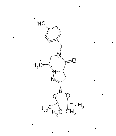 C[C@H]1CN(Cc2ccc(C#N)cc2)C(=O)C2CC(B3OC(C)(C)C(C)(C)O3)=NN21